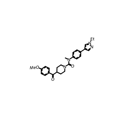 CCn1cc(-c2ccc(N(C)C(=O)N3CCC(C(=O)c4ccc(OC)cc4)CC3)cc2)cn1